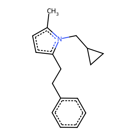 Cc1ccc(CCc2ccccc2)n1CC1CC1